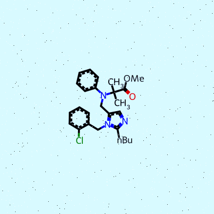 CCCCc1ncc(CN(c2ccccc2)C(C)(C)C(=O)OC)n1Cc1ccccc1Cl